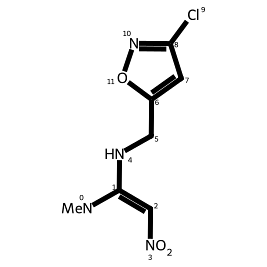 CNC(=C[N+](=O)[O-])NCc1cc(Cl)no1